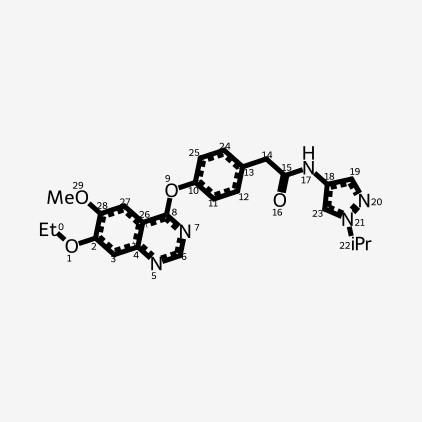 CCOc1cc2ncnc(Oc3ccc(CC(=O)Nc4cnn(C(C)C)c4)cc3)c2cc1OC